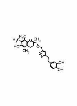 Cc1c(C)c2c(c(C)c1O)CCC(C)(COCc1cc(CCc3ccc(O)c(O)c3)no1)O2